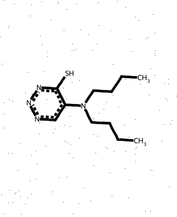 CCCCN(CCCC)c1cnnnc1S